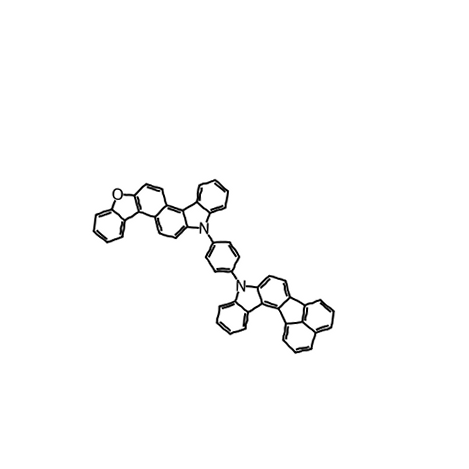 c1cc2c3c(cccc3c1)-c1c-2ccc2c1c1ccccc1n2-c1ccc(-n2c3ccccc3c3c4ccc5oc6ccccc6c5c4ccc32)cc1